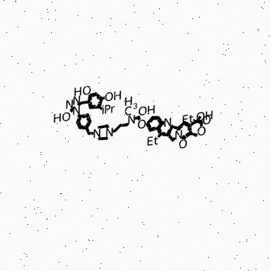 CCc1c2c(nc3ccc(OC(O)N(C)CCCN4CCN(Cc5ccc(-n6c(O)nnc6-c6cc(C(C)C)c(O)cc6O)cc5)CC4)cc13)-c1cc3c(c(=O)n1C2)COC(=O)[C@]3(O)CC